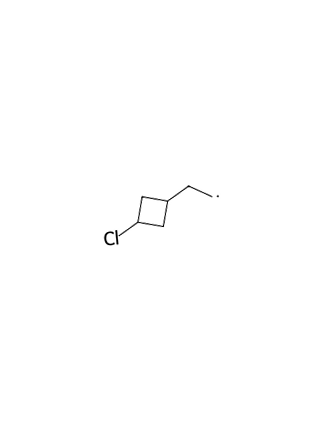 [CH2]CC1CC(Cl)C1